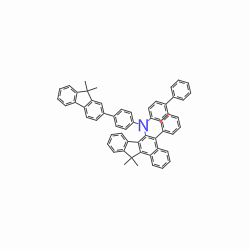 CC1(C)c2ccccc2-c2ccc(-c3ccc(N(c4ccc(-c5ccccc5)cc4)c4c5c(c6ccccc6c4-c4ccccc4)C(C)(C)c4ccccc4-5)cc3)cc21